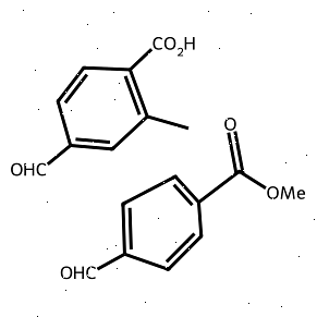 COC(=O)c1ccc(C=O)cc1.Cc1cc(C=O)ccc1C(=O)O